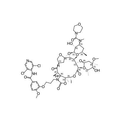 COc1ccc(C(=O)Nc2c(Cl)cncc2Cl)cc1OCCCN1C(=O)O[C@]2(C)[C@@H](I)OC(=O)[C@H](C)[C@@H](O[C@H]3C[C@@](C)(OC)[C@@H](O)[C@H](C)O3)[C@H](C)[C@@H](O[C@@H]3O[C@H](C)C[C@H](N(C)C(=O)N4CCOCC4)[C@H]3O)[C@@]3(C)C[C@@H](CO3)C(=O)[C@H](C)[C@@H]12